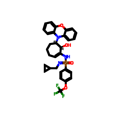 O=S(=NCC1CC1)(NC1=CCCC[C@@H](N2c3ccccc3Oc3ccccc32)[C@H]1O)c1ccc(OC(F)(F)F)cc1